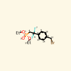 CCOP(=O)(CC(F)(F)c1ccc(CBr)cc1)OCC